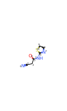 N#CCC(=O)Nc1nccs1